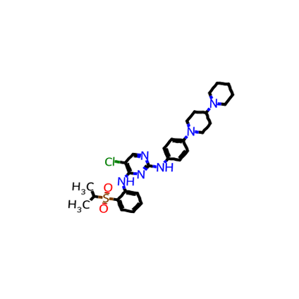 CC(C)S(=O)(=O)c1ccccc1Nc1nc(Nc2ccc(N3CCC(N4CCCCC4)CC3)cc2)ncc1Cl